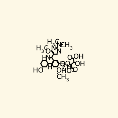 CCOc1cc2c(cc1OC)C(c1cnc(N(C)C)nc1OC)=N[C@@H]1CC[C@@H](O)C[C@H]21.O=C(O)C(O)C(O)C(=O)O